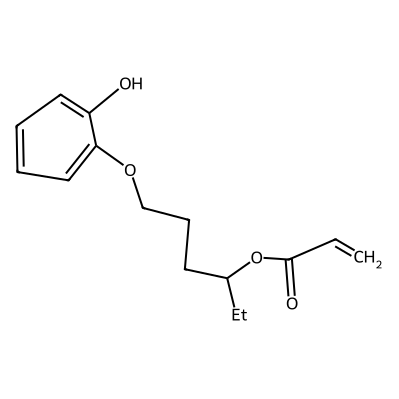 C=CC(=O)OC(CC)CCCOc1ccccc1O